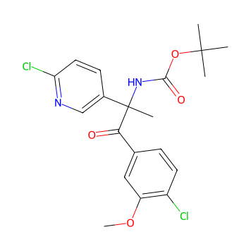 COc1cc(C(=O)C(C)(NC(=O)OC(C)(C)C)c2ccc(Cl)nc2)ccc1Cl